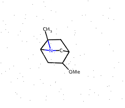 COC1CC2CCC1CN2C